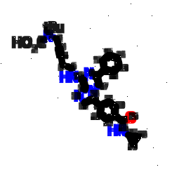 CC(C)(C)N(CC#CCCNc1nc(-c2ccccc2)cn2c(-c3ccc(C(=O)NC4CC4)cc3)cnc12)C(=O)O